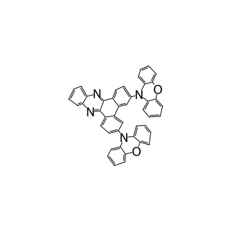 c1ccc2c(c1)Oc1ccccc1N2c1ccc2c(c1)c1cc(N3c4ccccc4Oc4ccccc43)ccc1c1nc3ccccc3nc21